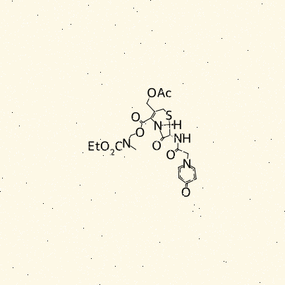 CCOC(=O)N(C)COC(=O)C1=C(COC(C)=O)CS[C@@H]2[C@H](NC(=O)Cn3ccc(=O)cc3)C(=O)N12